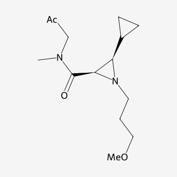 COCCCN1[C@H](C2CC2)[C@@H]1C(=O)N(C)CC(C)=O